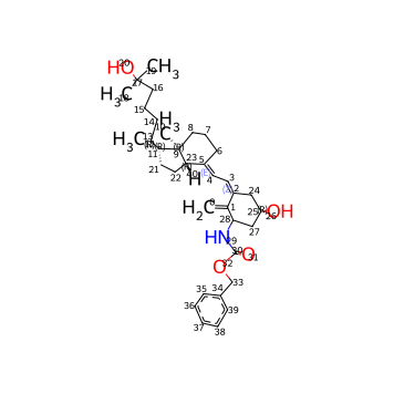 C=C1/C(=C\C=C2/CCC[C@]3(C)[C@@H]([C@H](C)CCCC(C)(C)O)CC[C@@H]23)C[C@@H](O)CC1NC(=O)OCc1ccccc1